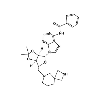 CC1(C)O[C@@H]2[C@H](O1)[C@@H](CN1CCCC3(CNC3)C1)O[C@H]2n1cnc2c(NC(=O)c3ccccc3)ncnc21